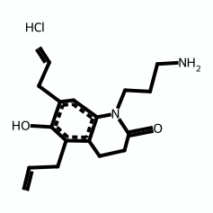 C=CCc1cc2c(c(CC=C)c1O)CCC(=O)N2CCCN.Cl